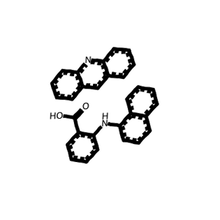 O=C(O)c1ccccc1Nc1cccc2ccccc12.c1ccc2nc3ccccc3cc2c1